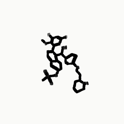 CSc1c(F)cc(F)cc1-c1ccc2cc(OS(C)(=O)=O)ccc2c1C(O)c1ccc(OCCC2CCCCN2)cc1